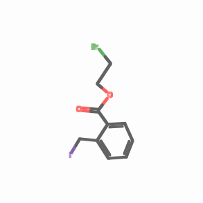 O=C(OCCBr)c1ccccc1CI